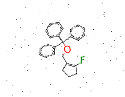 FC1=C(COC(c2ccccc2)(c2ccccc2)c2ccccc2)CCC1